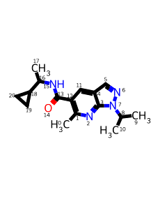 Cc1nc2c(cnn2C(C)C)cc1C(=O)NC(C)C1CC1